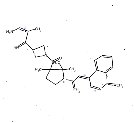 C=C/N=N\C(=C/C(=C)[C@@H]1CCC(C)(C(=O)N2CC(C(=N)/C(C)=C\N)C2)C1(C)C)c1ccccc1F